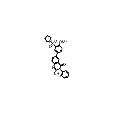 COc1ncc(-c2ccc3nc(N)n(-c4ccccc4)c(=O)c3c2)cc1S(=O)(=O)N1CCCC1